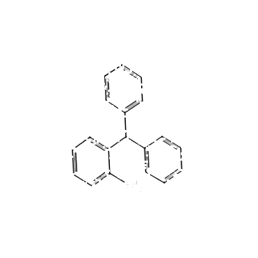 Pc1ccccc1C(c1ccccc1)c1ccccc1